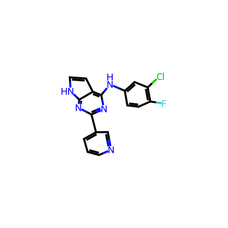 Fc1ccc(Nc2nc(-c3cccnc3)nc3[nH]ccc23)cc1Cl